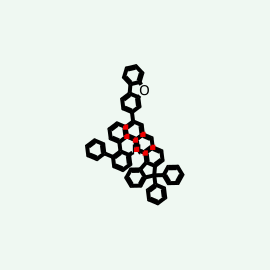 c1ccc(-c2ccccc2-c2c(-c3ccccc3)cccc2N(c2ccc(-c3ccc4c(c3)oc3ccccc34)cc2)c2cccc3c2-c2ccccc2C3(c2ccccc2)c2ccccc2)cc1